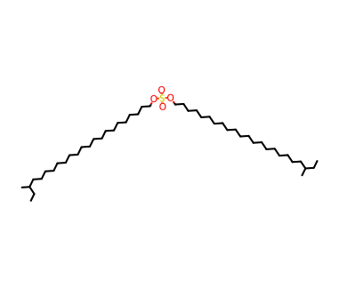 CCC(C)CCCCCCCCCCCCCCCCCCCCOS(=O)(=O)OCCCCCCCCCCCCCCCCCCCCC(C)CC